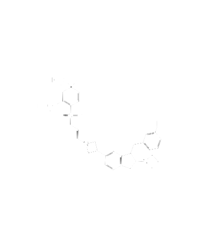 CC1(C(=O)O)C=CC(S(=O)(=O)CC=CN2CC(c3ccc4c(c3)C(Cc3cccc(F)c3)C(N3CCC3)C4)C2)=C(C(=O)O)C1